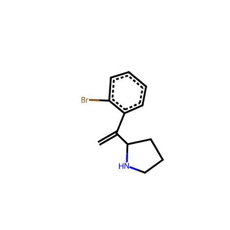 C=C(c1ccccc1Br)C1CCCN1